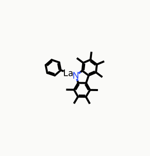 Cc1c(C)c(C)c2c(c1C)c1c(C)c(C)c(C)c(C)c1[n]2[La][c]1ccccc1